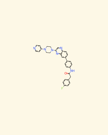 O=C(Cc1ccc(F)cc1)Nc1ccc(-c2ccc3ncc(N4CCN(c5ccncc5)CC4)nc3c2)cc1